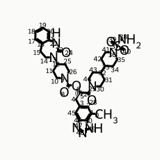 Cc1cc(C[C@@H](OC(=O)N2CCC(N3CCc4ccccc4NC3=O)CC2)C(=O)N2CCC(C3CCN(S(N)(=O)=O)CC3)CC2)cc2nn[nH]c12